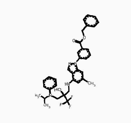 Cc1cc(NCC(O)(CN(c2ccccc2)C(C)C)C(F)(F)F)c2cnn(-c3cccc(C(=O)OCc4ccccc4)c3)c2c1